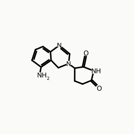 Nc1cccc2c1CN(C1CCC(=O)NC1=O)C=N2